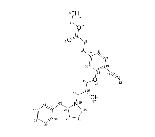 CCOC(=O)CCc1ccc(C#N)c(OC[C@H](O)CN2CCCC2Cc2ccccc2)c1